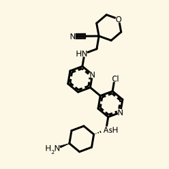 N#CC1(CNc2cccc(-c3cc([AsH][C@H]4CC[C@H](N)CC4)ncc3Cl)n2)CCOCC1